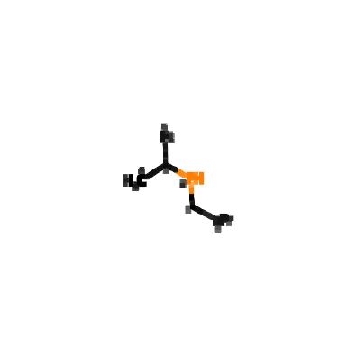 CCCCPC(C)CC